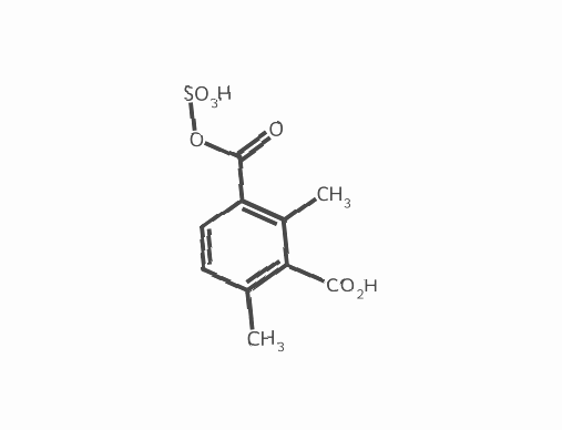 Cc1ccc(C(=O)OS(=O)(=O)O)c(C)c1C(=O)O